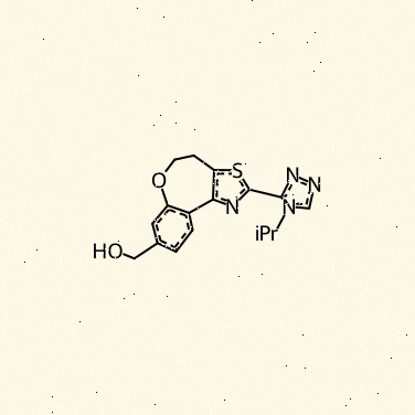 CC(C)n1cnnc1-c1nc2c(s1)CCOc1cc(CO)ccc1-2